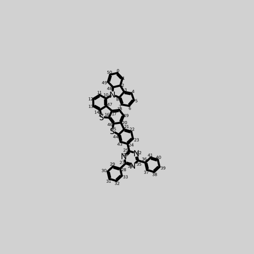 C1=CC2c3ccccc3N(c3cccc4sc5c(ccc6c7ccc(-c8nc(-c9ccccc9)nc(-c9ccccc9)n8)cc7sc65)c34)C2C=C1